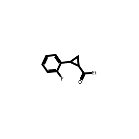 CCC(=O)C1CC1c1ccccc1F